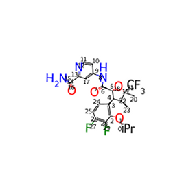 CC(C)Oc1c([C@H]2[C@@H](C(=O)Nc3ccnc(C(N)=O)c3)O[C@@](C)(C(F)(F)F)[C@H]2C)ccc(F)c1F